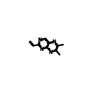 C=Cc1ncc2nc(C)c(C)nc2n1